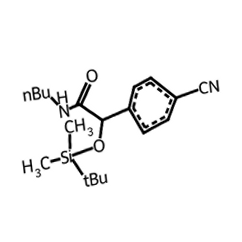 CCCCNC(=O)C(O[Si](C)(C)C(C)(C)C)c1ccc(C#N)cc1